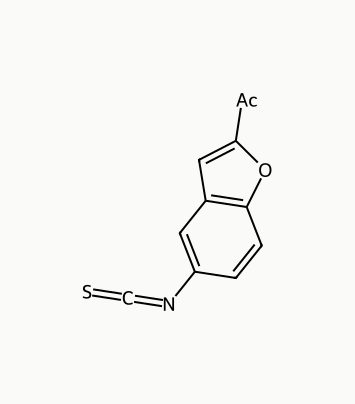 CC(=O)c1cc2cc(N=C=S)ccc2o1